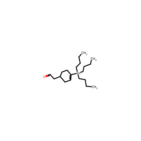 CCC[CH2][Sn]([CH2]CCC)([CH2]CCC)[C]1=CCC(CC=O)CC1